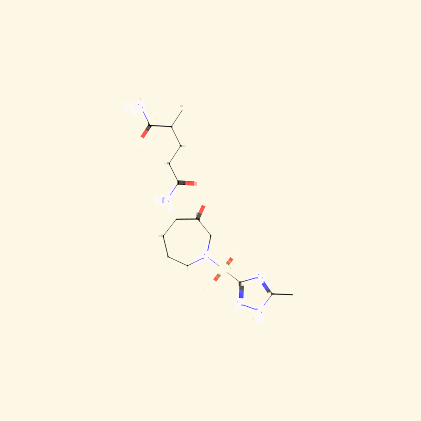 Cc1nc(S(=O)(=O)N2CCC[C@H](NC(=O)[CH]CC(C)C(N)=O)C(=O)C2)n[nH]1